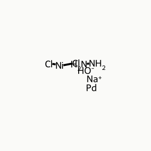 NN.[Cl][Ni][Cl].[Na+].[OH-].[Pd]